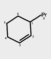 CC(C)C1C=CCCC1